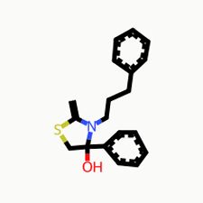 C=C1SCC(O)(c2ccccc2)N1CCCc1ccccc1